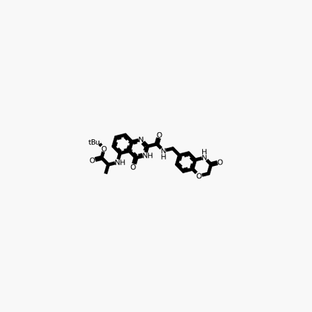 CC(Nc1cccc2nc(C(=O)NCc3ccc4c(c3)NC(=O)CO4)[nH]c(=O)c12)C(=O)OC(C)(C)C